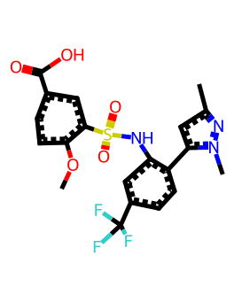 COc1ccc(C(=O)O)cc1S(=O)(=O)Nc1cc(C(F)(F)F)ccc1-c1cc(C)nn1C